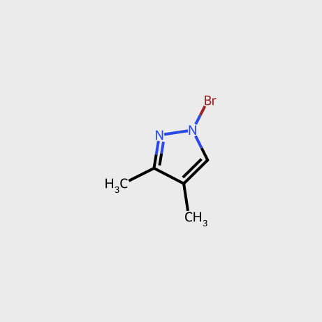 Cc1cn(Br)nc1C